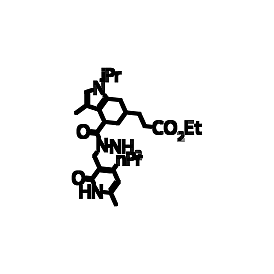 CCCc1cc(C)[nH]c(=O)c1CN(N)C(=O)C1CC(CCC(=O)OCC)Cc2c1c(C)cn2C(C)C